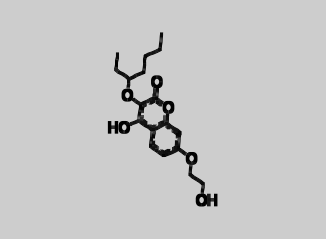 CCCCC(CC)Oc1c(O)c2ccc(OCCO)cc2oc1=O